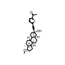 CO[C@H]1CC[C@H]2[C@@H]3CC[C@@H]4C[C@@](O)(C#Cc5ccc(C(C)=O)s5)CC[C@]4(C)[C@H]3CC[C@]12C